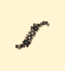 CCCCOc1ccc([C@H]2CC[C@H](C3CC=C(c4ccc(OCC)c(F)c4F)CC3)CC2)c(F)c1F